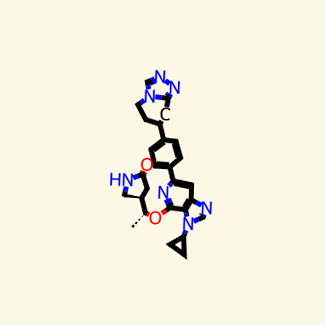 C[C@@H](Oc1nc(-c2ccc(C3CCn4cnnc4C3)cc2)cc2ncn(C3CC3)c12)[C@H]1CNC(=O)C1